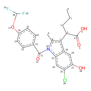 CCCC(C(=O)O)c1c(C)n(C(=O)c2ccc(OC(F)F)cc2)c2cc(Cl)c(O)cc12